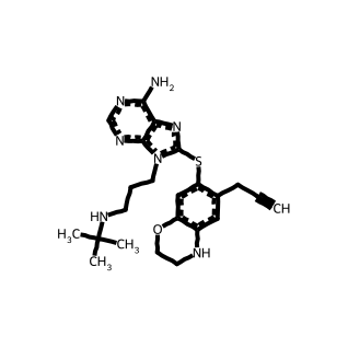 C#CCc1cc2c(cc1Sc1nc3c(N)ncnc3n1CCCNC(C)(C)C)OCCN2